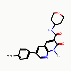 CCn1c(=O)c(C(=O)NC2CCOCC2)cc2cc(-c3ccc(OC)cc3)cnc21